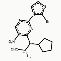 CC[C@H](C=O)N(c1nc(-n2ccnc2Br)ncc1[N+](=O)[O-])C1CCCC1